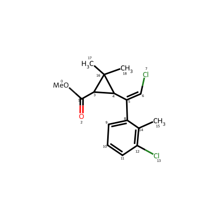 COC(=O)C1C(C(=CCl)c2cccc(Cl)c2C)C1(C)C